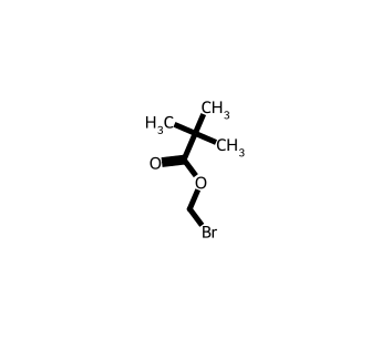 CC(C)(C)C(=O)OCBr